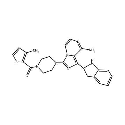 Cc1ccsc1C(=O)N1CCC(c2nc(C3Cc4ccccc4N3)c3c(N)nccn23)CC1